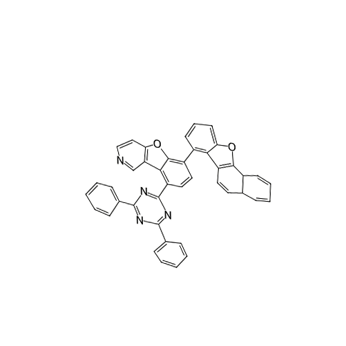 C1=CC2C=Cc3c(oc4cccc(-c5ccc(-c6nc(-c7ccccc7)nc(-c7ccccc7)n6)c6c5oc5ccncc56)c34)C2C=C1